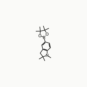 CN1c2ccc(B3OC(C)(C)C(C)(C)O3)cc2CC1(C)C